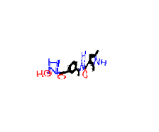 Cc1cc(C(=O)NC(C)c2cccc(C(=O)NO)c2)c(C)[nH]1